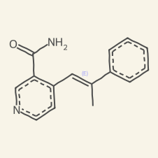 C/C(=C\c1ccncc1C(N)=O)c1ccccc1